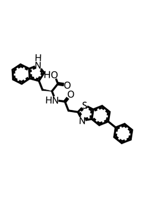 O=C(Cc1nc2cc(-c3ccccc3)ccc2s1)N[C@@H](Cc1c[nH]c2ccccc12)C(=O)O